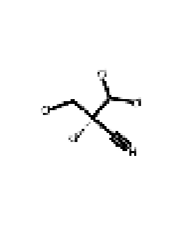 N#C[C@@](Cl)(CCl)C(Cl)Cl